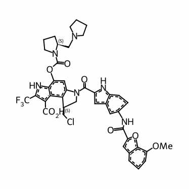 COc1cccc2cc(C(=O)Nc3ccc4[nH]c(C(=O)N5C[C@@H](CCl)c6c5cc(OC(=O)N5CCC[C@H]5CN5CCCC5)c5[nH]c(C(F)(F)F)c(C(=O)O)c65)cc4c3)oc12